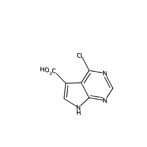 O=C(O)c1c[nH]c2ncnc(Cl)c12